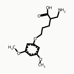 COc1cc(OC)cc(OCCCC(CN)C(=O)O)c1